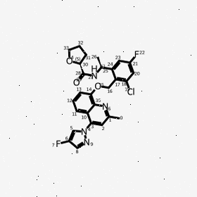 Cc1cc(-n2cc(F)cn2)c2cccc(OCc3c(Cl)cc(F)cc3[C@H](C)NC(=O)[C@@H]3CCCO3)c2n1